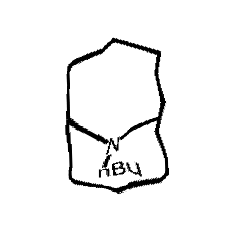 [CH2]CCCN1C2CCCC1CCC2